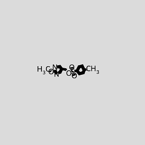 COc1ncc(COS(=O)(=O)c2ccc(C)cc2)cn1